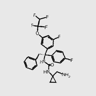 NCC1(NC(=O)N[C@](Cc2ccccc2)(c2ccc(F)cc2)c2cc(F)cc(OC(F)(F)C(F)F)c2)CC1